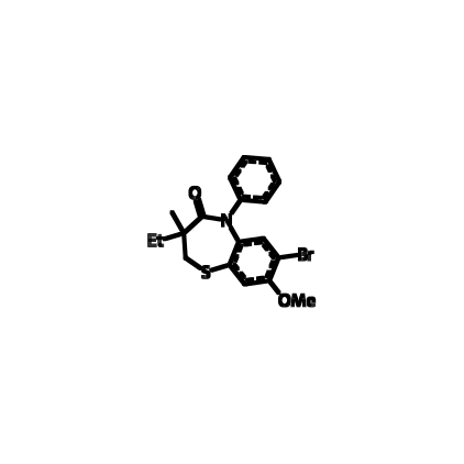 CCC1(C)CSc2cc(OC)c(Br)cc2N(c2ccccc2)C1=O